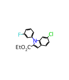 CCOC(=O)c1cc2ccc(Cl)cc2n1-c1cccc(F)c1